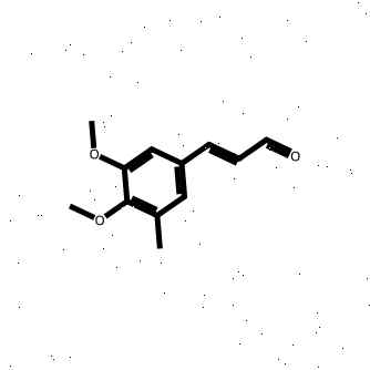 COc1cc(/C=C/C=O)cc(C)c1OC